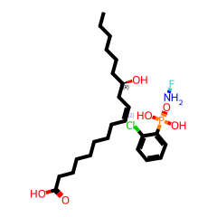 CCCCCC[C@@H](O)C/C=C\CCCCCCCC(=O)O.NF.O=P(O)(O)c1ccccc1Cl